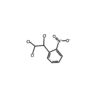 O=[N+]([O-])c1ccccc1C(Cl)C(Cl)Cl